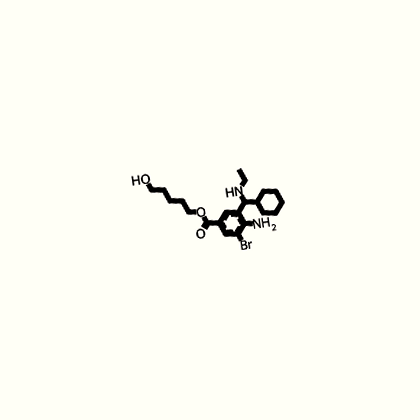 CCNC(c1cc(C(=O)OCCCCCO)cc(Br)c1N)C1CCCCC1